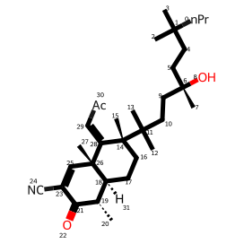 CCCC(C)(C)CC[C@](C)(O)CCC(C)(C)[C@]1(C)CC[C@H]2[C@H](C)C(=O)C(C#N)=C[C@]2(C)/C1=C/C(C)=O